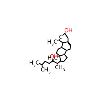 CC(C)CCC(O)[C@@H](C)C1CCC2C3CC=C4C[C@@H](O)C[C@@H](C)C4C3CC[C@@]21C